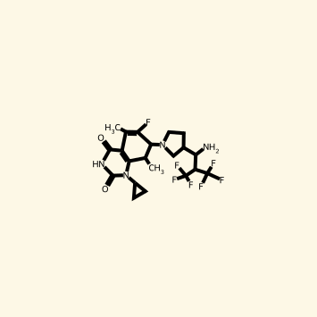 CC1=C(F)C(N2CCC(C(N)C(C(F)(F)F)C(F)(F)F)C2)C(C)c2c1c(=O)[nH]c(=O)n2C1CC1